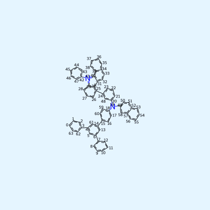 c1ccc(-c2cc(-c3ccccc3)cc(-c3ccc(N(c4cccc(-c5cccc6c5c5ccc7ccccc7c5n6-c5ccccc5)c4)c4ccc5ccccc5c4)cc3)c2)cc1